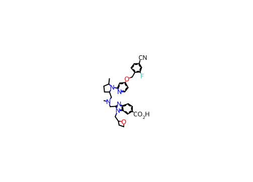 CC1CCC(CN(C)Cc2nc3ccc(C(=O)O)cc3n2CC2CCO2)N1c1cc(OCc2ccc(C#N)cc2F)ccn1